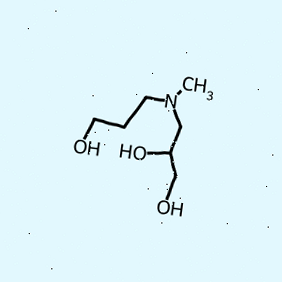 CN(CCCO)CC(O)CO